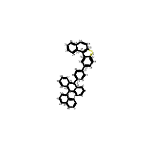 c1ccc2c(-c3c4ccccc4c(-c4ccc(-c5ccc6sc7ccc8ccccc8c7c6c5)cc4)c4ccccc34)cccc2c1